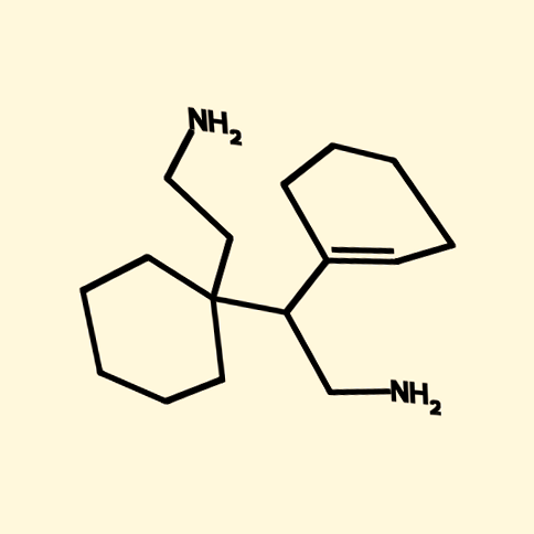 NCCC1(C(CN)C2=CCCCC2)CCCCC1